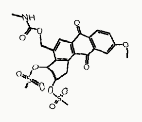 CNC(=O)OCc1cc2c(c3c1C(OS(C)(=O)=O)C(OS(C)(=O)=O)C3)C(=O)c1cc(OC)ccc1C2=O